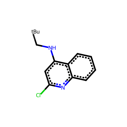 CC(C)(C)CNc1cc(Cl)nc2ccccc12